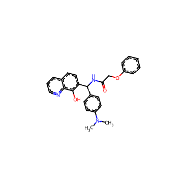 CN(C)c1ccc(C(NC(=O)COc2ccccc2)c2ccc3cccnc3c2O)cc1